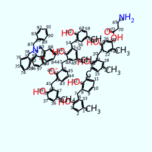 Cc1ccc(O)c(Cc2cccc(Cc3cc(C)cc(Cc4cc(C)ccc4O)c3O)c2O)c1.Cc1ccc(O)c(Cc2cccc(Cc3cc(C)cc(Cc4cc(C)ccc4O)c3O)c2[O-])c1.NCCC(=O)O.c1ccc(C[N+](Cc2ccccc2)(Cc2ccccc2)c2ccccc2)cc1